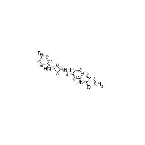 CCc1cc2ccc(CNC3CC(Nc4ccc(F)cc4)C3)cc2[nH]c1=O